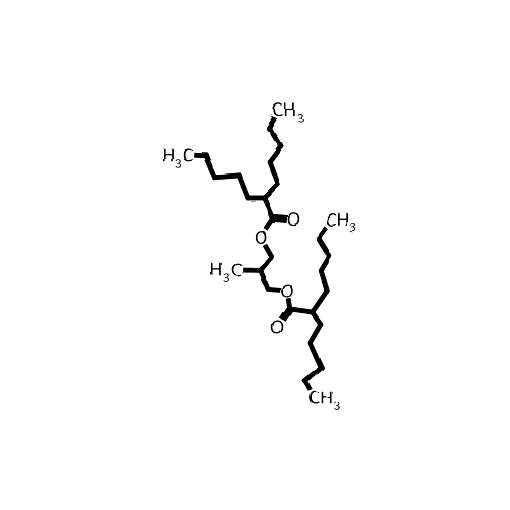 CCCCCC(CCCCC)C(=O)OCC(C)COC(=O)C(CCCCC)CCCCC